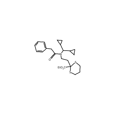 CCOC(=O)C1(CCN(C(=O)Cc2ccccc2)C(C2CC2)C2CC2)SCCCS1